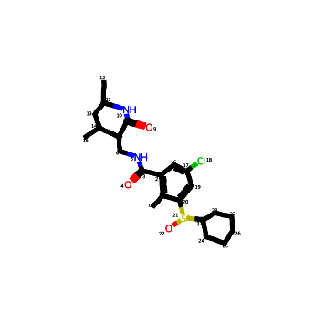 Cc1c(C(=O)NCC2C(=O)NC(C)CC2C)cc(Cl)cc1[S+]([O-])C1CCCCC1